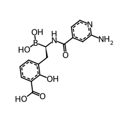 Nc1cc(C(=O)N[C@@H](Cc2cccc(C(=O)O)c2O)B(O)O)ccn1